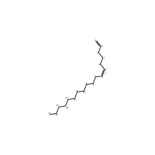 C=CCCC/C=C\CCCCCCCCCCC